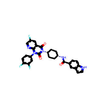 O=C(N[C@H]1CC[C@@H](n2c(=O)c3cc(F)cnc3n(-c3ccc(F)c(F)c3)c2=O)CC1)c1ccc2[nH]ccc2c1